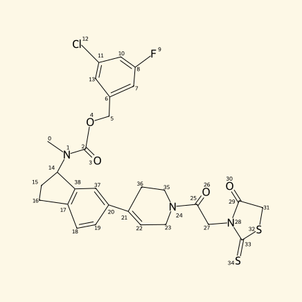 CN(C(=O)OCc1cc(F)cc(Cl)c1)C1CCc2ccc(C3=CCN(C(=O)CN4C(=O)CSC4=S)CC3)cc21